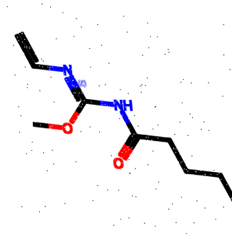 C=C/N=C(/NC(=O)CCCC)OC